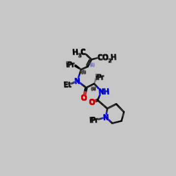 CCN(C(=O)[C@@H](NC(=O)C1CCCCN1C(C)C)C(C)C)[C@H](/C=C(\C)C(=O)O)C(C)C